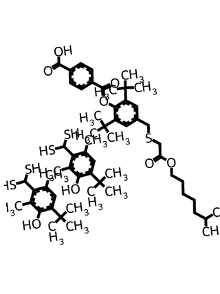 CC(C)CCCCCOC(=O)CSCc1cc(C(C)(C)C)c(OC(=O)c2ccc(C(=O)O)cc2)c(C(C)(C)C)c1.Cc1cc(C(C)(C)C)c(O)c(C)c1C(S)S.Cc1cc(C(C)(C)C)c(O)c(C)c1C(S)S